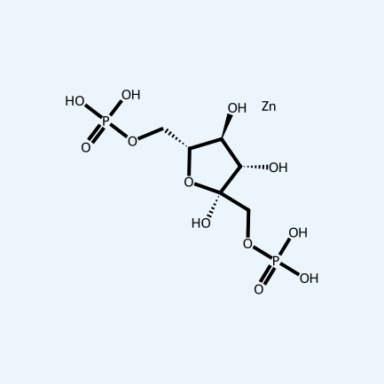 O=P(O)(O)OC[C@H]1O[C@](O)(COP(=O)(O)O)[C@@H](O)[C@@H]1O.[Zn]